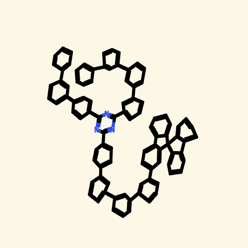 c1ccc(-c2cccc(-c3ccc(-c4nc(-c5ccc(-c6cccc(-c7cccc(-c8cccc(-c9ccc%10c(c9)C9(c%11ccccc%11-c%11ccccc%119)c9ccccc9-%10)c8)c7)c6)cc5)nc(-c5cccc(-c6cccc(-c7cccc(-c8ccccc8)c7)c6)c5)n4)cc3)c2)cc1